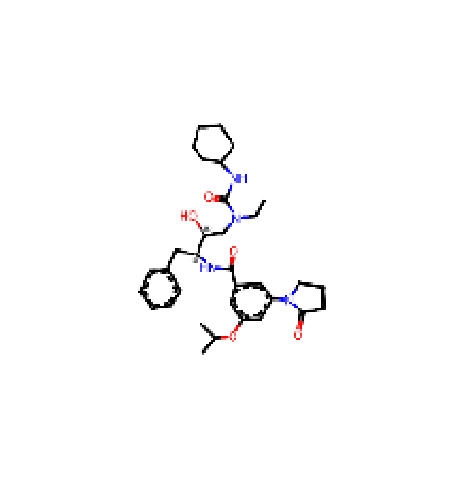 CCN(C[C@H](O)[C@H](Cc1ccccc1)NC(=O)c1cc(OC(C)C)cc(N2CCCC2=O)c1)C(=O)NC1CCCCC1